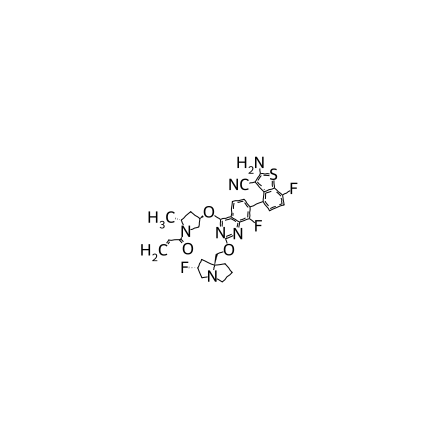 C=CC(=O)N1C[C@H](Oc2nc(OC[C@@]34CCCN3C[C@H](F)C4)nc3c(F)c(-c4ccc(F)c5sc(N)c(C#N)c45)ccc23)C[C@H]1C